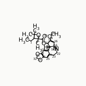 CCC1C(C)(C)OC1(C)C(=O)OC1C(OC)=C[C@]23CCCN2CCc2cc4c(cc2[C@H]13)OCO4